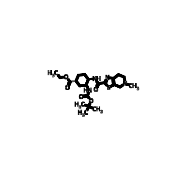 CCOC(=O)[C@@H]1CC[C@@H](NC(=O)c2nc3c(s2)CN(C)CC3)C(NC(=O)OC(C)(C)C)C1